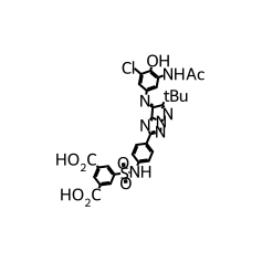 CC(=O)Nc1cc(N=C2C(C(C)(C)C)=Nn3nc(-c4ccc(NS(=O)(=O)c5cc(C(=O)O)cc(C(=O)O)c5)cc4)nc32)cc(Cl)c1O